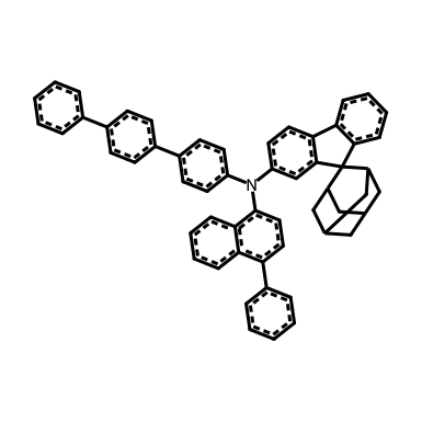 c1ccc(-c2ccc(-c3ccc(N(c4ccc5c(c4)C4(c6ccccc6-5)C5CC6CC(C5)CC4C6)c4ccc(-c5ccccc5)c5ccccc45)cc3)cc2)cc1